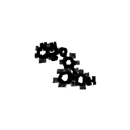 c1cnc2nc(Oc3ccc(C[N+]4(C5CCNCC5)CCCCC4)cc3)sc2c1